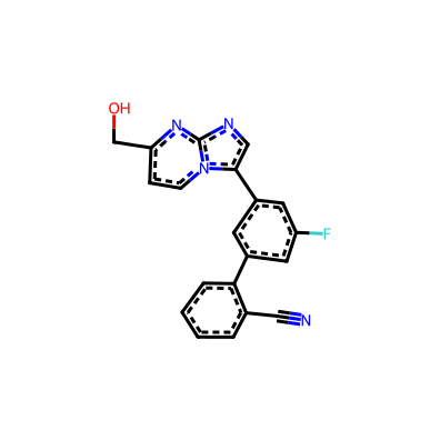 N#Cc1ccccc1-c1cc(F)cc(-c2cnc3nc(CO)ccn23)c1